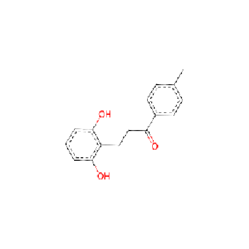 Cc1ccc(C(=O)CCc2c(O)cccc2O)cc1